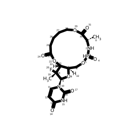 C[C@@H]1N[PH](=O)OC[C@H]2O[C@@H](n3ccc(=O)[nH]c3=O)[C@](C)(F)[C@@H]2OC(=O)CCCCOC1=O